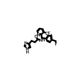 O=C(CCc1c[nH]cn1)N[C@@H](c1ccc(CF)cc1)c1ncccc1C(F)(F)F